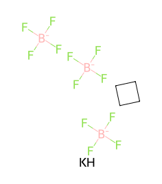 C1CCC1.F[B-](F)(F)F.F[B-](F)(F)F.F[B-](F)(F)F.[KH]